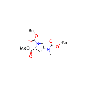 COC(=O)[C@@H]1C[C@@H](N(C)C(=O)OC(C)(C)C)CN1C(=O)OC(C)(C)C